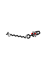 CCN1CC2CCC(C1)N2c1ncc(C2CCN(CCCCCCCCCCOC(C)C)CC2)cn1